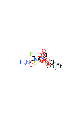 CCOC(=O)OC(C)OC(=O)C1(N2OC[C@H](N(C=CF)C(=S)CC(N)=O)C2=O)CCC(=O)O1